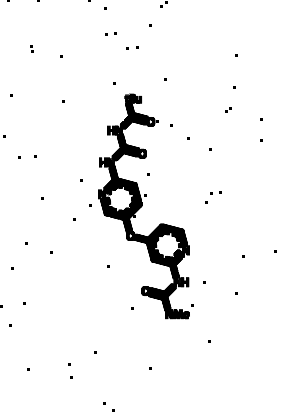 CNC(=O)Nc1cc(Oc2ccc(NC(=O)NC(=O)C(C)(C)C)nc2)ccn1